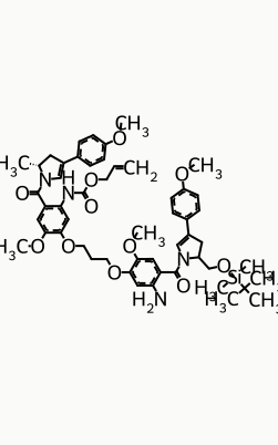 C=CCOC(=O)Nc1cc(OCCCOc2cc(N)c(C(=O)N3C=C(c4ccc(OC)cc4)CC3CO[Si](C)(C)C(C)(C)C)cc2OC)c(OC)cc1C(=O)N1C=C(c2ccc(OC)cc2)C[C@H]1C